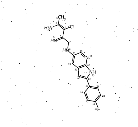 C/C(N)=C(\Cl)C(=N)CNc1cnc2[nH]c(-c3ccc(F)cc3)cc2c1